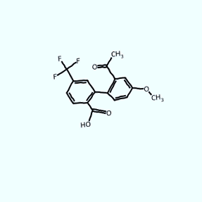 COc1ccc(-c2cc(C(F)(F)F)ccc2C(=O)O)c(C(C)=O)c1